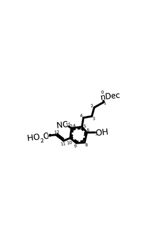 CCCCCCCCCCCCCCc1c(O)ccc(C=CC(=O)O)c1C#N